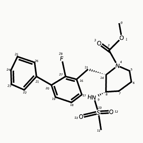 COC(=O)N1CCC[C@H](NS(C)(=O)=O)[C@@H]1Cc1cccc(-c2ccccc2)c1F